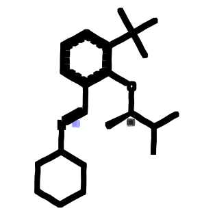 CC(C)[C@@H](C)Oc1c(/C=N/C2CCCCC2)cccc1C(C)(C)C